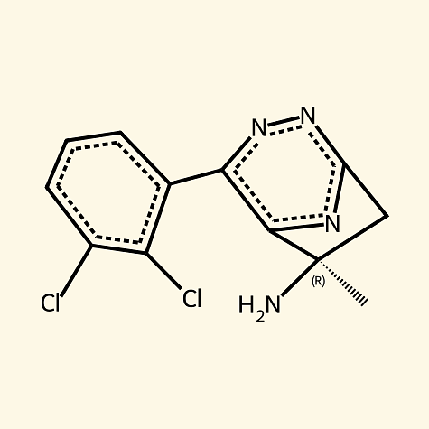 C[C@@]1(N)Cc2nnc(-c3cccc(Cl)c3Cl)c1n2